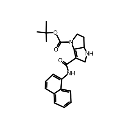 CC(C)(C)OC(=O)N1CCC2NCC(C(=O)Nc3cccc4ccccc34)=C21